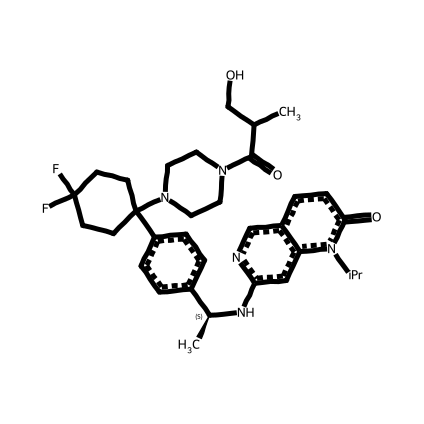 CC(CO)C(=O)N1CCN(C2(c3ccc([C@H](C)Nc4cc5c(ccc(=O)n5C(C)C)cn4)cc3)CCC(F)(F)CC2)CC1